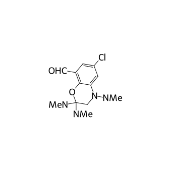 CNN1CC(NC)(NC)Oc2c(C=O)cc(Cl)cc21